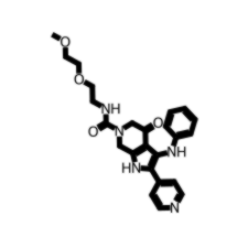 COCCOCCNC(=O)N1CC(=O)c2c([nH]c(-c3ccncc3)c2Nc2ccccc2)C1